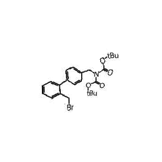 CC(C)(C)OC(=O)N(Cc1ccc(-c2ccccc2CBr)cc1)C(=O)OC(C)(C)C